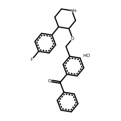 Cl.O=C(c1ccccc1)c1cccc(COC2CNCCC2c2ccc(F)cc2)c1